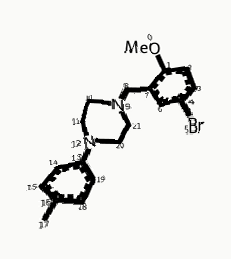 COc1ccc(Br)cc1CN1CCN(c2ccc(C)cc2)CC1